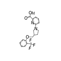 O=C(O)c1cccc(N2CCC(COc3ccccc3C(F)(F)F)C2)n1